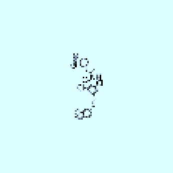 CC(Cc1cccc(S(C)(=O)=O)c1)NC(=O)c1c(Cl)cc(CCP(C)c2ccc3ccoc3c2)cc1Cl